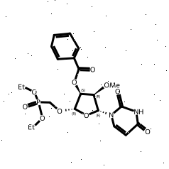 CCOP(=O)(CO[C@H]1O[C@@H](n2ccc(=O)[nH]c2=O)[C@H](OC)[C@@H]1OC(=O)c1ccccc1)OCC